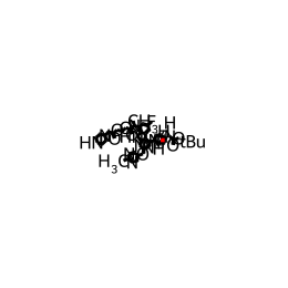 Cc1ncc(Oc2nc(N3C[C@H]4C[C@@H]3C[C@H]4NC(=O)OC(C)(C)C)c3c(n2)[nH]c2c(N(C)C(=O)OCOC(=O)CN4CCNCC4)cc(F)cc23)cn1